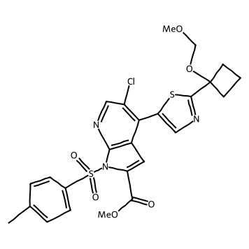 COCOC1(c2ncc(-c3c(Cl)cnc4c3cc(C(=O)OC)n4S(=O)(=O)c3ccc(C)cc3)s2)CCC1